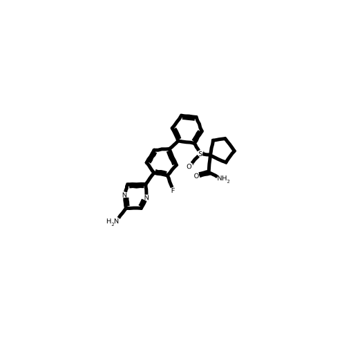 NC(=O)C1([S+]([O-])c2ccccc2-c2ccc(-c3cnc(N)cn3)c(F)c2)CCCC1